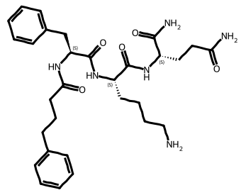 NCCCC[C@H](NC(=O)[C@H](Cc1ccccc1)NC(=O)CCCc1ccccc1)C(=O)N[C@@H](CCC(N)=O)C(N)=O